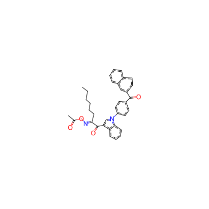 CCCCCC/C(=N\OC(C)=O)C(=O)c1cn(-c2ccc(C(=O)c3ccc4ccccc4c3)cc2)c2ccccc12